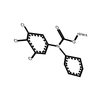 [CH2]CCCCCOC(=O)N(c1ccccc1)c1cc(Cl)c(Cl)c(Cl)c1